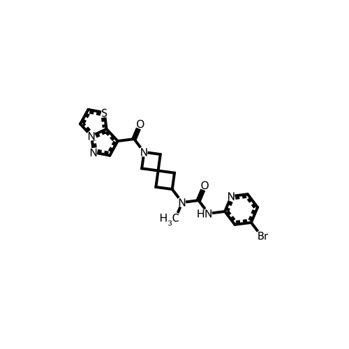 CN(C(=O)Nc1cc(Br)ccn1)C1CC2(C1)CN(C(=O)c1cnn3ccsc13)C2